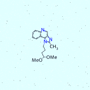 COC(CCCn1c(C)nc2cnc3ccccc3c21)OC